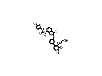 O=C(NC1=C2CN(Cc3cccc(-c4cc[nH]c(=O)c4OCCO)c3)C(=O)C2CC=C1)Oc1ccc(Cl)s1